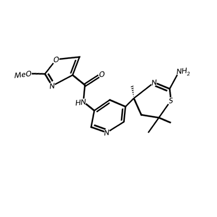 COc1nc(C(=O)Nc2cncc([C@]3(C)CC(C)(C)SC(N)=N3)c2)co1